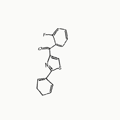 O=C(c1csc(C2=CCCC=C2)n1)c1ccccc1F